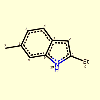 CCc1[c]c2ccc(C)cc2[nH]1